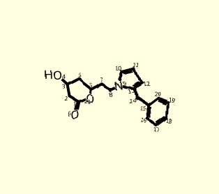 O=C1CC(O)CC(CCn2cccc2Cc2ccccc2)O1